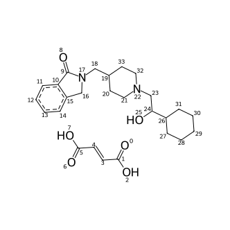 O=C(O)/C=C/C(=O)O.O=C1c2ccccc2CN1CC1CCN(CC(O)C2CCCCC2)CC1